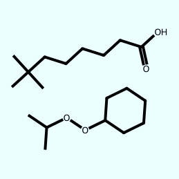 CC(C)(C)CCCCCC(=O)O.CC(C)OOC1CCCCC1